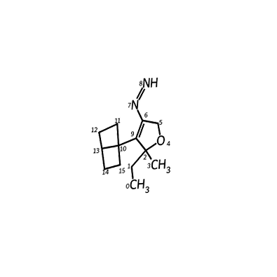 CCC1(C)OCC(N=N)=C1C12CCC1CC2